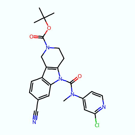 CN(C(=O)n1c2c(c3ccc(C#N)cc31)CN(C(=O)OC(C)(C)C)CC2)c1ccnc(Cl)c1